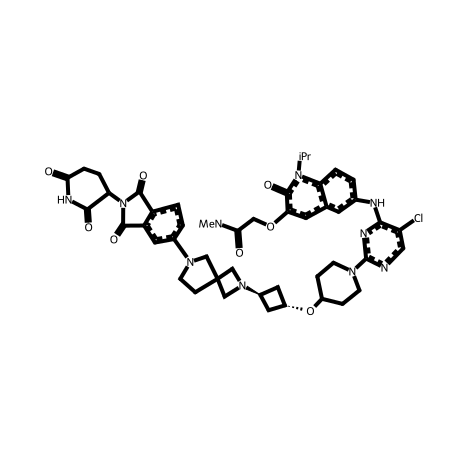 CNC(=O)COc1cc2cc(Nc3nc(N4CCC(O[C@H]5C[C@H](N6CC7(CCN(c8ccc9c(c8)C(=O)N(C8CCC(=O)NC8=O)C9=O)C7)C6)C5)CC4)ncc3Cl)ccc2n(C(C)C)c1=O